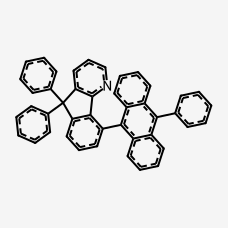 c1ccc(-c2c3ccccc3c(-c3cccc4c3-c3ncccc3C4(c3ccccc3)c3ccccc3)c3ccccc23)cc1